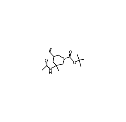 C=CC1CN(C(=O)OC(C)(C)C)CC(C)(NC(C)=O)C1